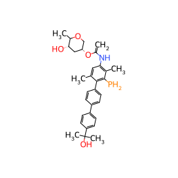 C=C(Nc1cc(C)c(-c2ccc(-c3ccc(C(C)(C)O)cc3)cc2)c(P)c1C)O[C@H]1COC(C)[C@@H](O)C1